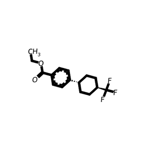 CCOC(=O)c1ccc([C@H]2CC[C@H](C(F)(F)F)CC2)cc1